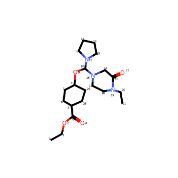 CCOC(=O)C1CCC(OC(N2CCCC2)N2CCN(CC)C(=O)C2)CC1